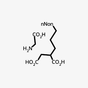 CCCCCCCCCCCCC(CC(=O)O)C(=O)O.NCC(=O)O